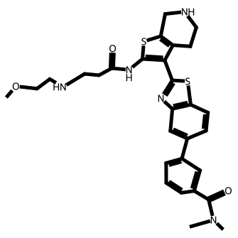 COCCNCCC(=O)Nc1sc2c(c1-c1nc3cc(-c4cccc(C(=O)N(C)C)c4)ccc3s1)CCNC2